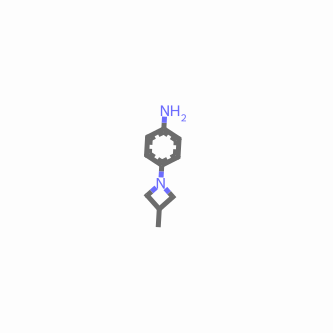 CC1CN(c2ccc(N)cc2)C1